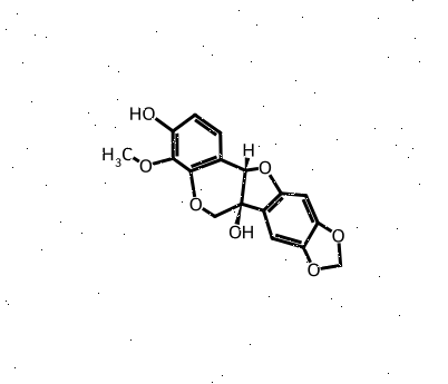 COc1c(O)ccc2c1OC[C@@]1(O)c3cc4c(cc3O[C@@H]21)OCO4